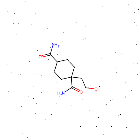 NC(=O)C1CCC(CCO)(C(N)=O)CC1